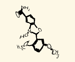 COc1ccc(OC)c(C2Oc3ccc(C(N)=O)cc3N2O)c1